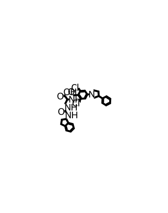 O=C(NCC(NC(=O)c1c(Cl)cc(N2CCC(c3ccccc3)C2)cc1Cl)C(=O)O)NC1CCc2ccccc21